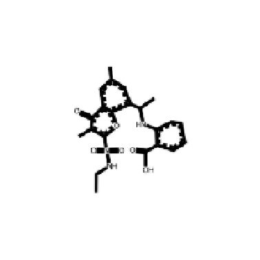 CCNS(=O)(=O)c1oc2c(C(C)Nc3ccccc3C(=O)O)cc(C)cc2c(=O)c1C